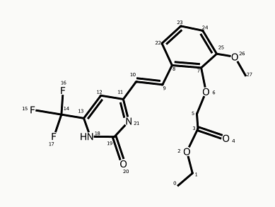 CCOC(=O)COc1c(C=Cc2cc(C(F)(F)F)[nH]c(=O)n2)cccc1OC